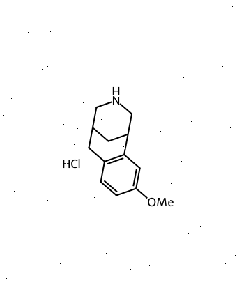 COc1ccc2c(c1)C1CNCC(C2)C1.Cl